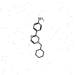 Nc1ccc(C2=NC=CN(CC3CCCCC3)C2)cc1